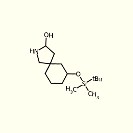 CC(C)(C)[Si](C)(C)OC1CCCC2(CNC(O)C2)C1